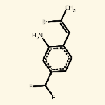 C/C(Br)=C/c1ccc(C(F)F)cc1N